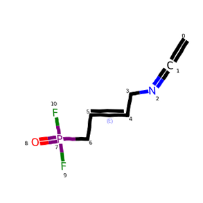 C=C=NC/C=C/CP(=O)(F)F